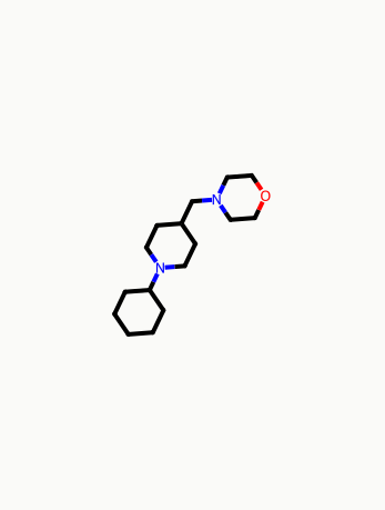 C1CCC(N2CCC(CN3CCOCC3)CC2)CC1